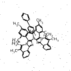 Cc1cc(C)c(-c2c(N(c3ccc(-c4ccccc4)cc3)c3nc4c5ccccc5c(C)c(C)n4c3-c3c(C)cc(C)cc3C)nc3c4ccccc4c(C)c(C)n23)c(C)c1